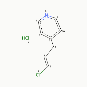 Cl.ClC=CCc1ccncc1